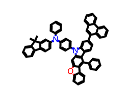 CC1(C)c2ccccc2-c2ccc(N(c3ccccc3)c3ccc(-n4c5cc(-c6cc7ccccc7c7ccccc67)ccc5c5c(-c6ccccc6)c6c(cc54)oc4ccccc46)cc3)cc21